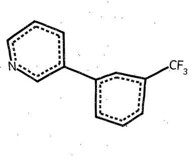 FC(F)(F)c1c[c]cc(-c2cccnc2)c1